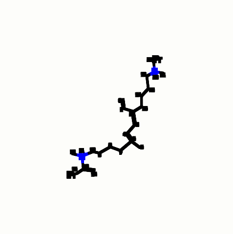 C=C/C(=C\C=C(/C)CCCCN(C)C(=C)C(C)C)CCCCN(C)C(C)C